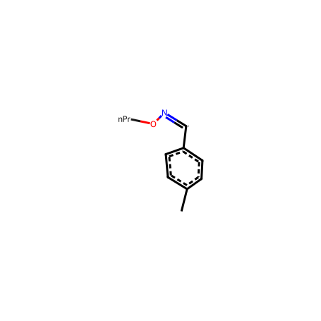 CCCO/N=[C]\c1ccc(C)cc1